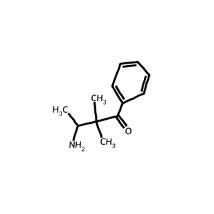 CC(N)C(C)(C)C(=O)c1ccccc1